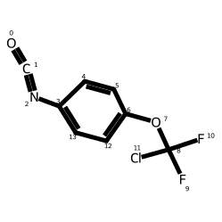 O=C=Nc1ccc(OC(F)(F)Cl)cc1